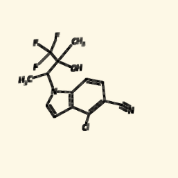 CC(n1ccc2c(Cl)c(C#N)ccc21)C(C)(O)C(F)(F)F